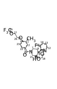 Cc1cc(C(=O)N2CC[C@]3(c4ncccc4F)OCO[C@@H]3C2)ccc1OCCOC(F)(F)F